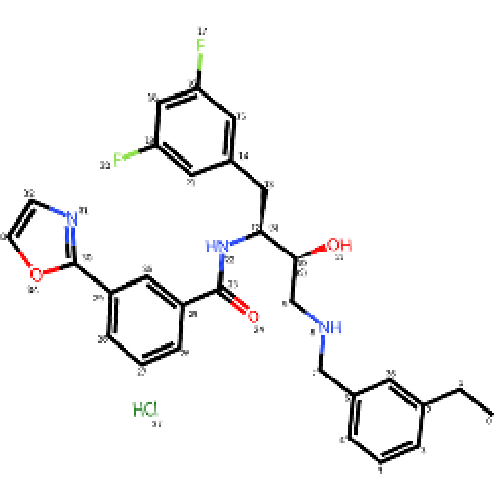 CCc1cccc(CNC[C@H](O)[C@H](Cc2cc(F)cc(F)c2)NC(=O)c2cccc(-c3ncco3)c2)c1.Cl